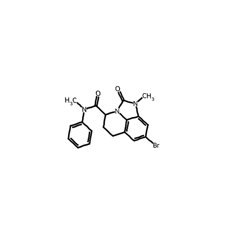 CN(C(=O)C1CCc2cc(Br)cc3c2n1c(=O)n3C)c1ccccc1